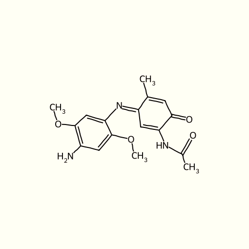 COc1cc(N=C2C=C(NC(C)=O)C(=O)C=C2C)c(OC)cc1N